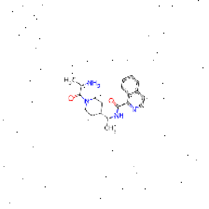 CC(N)C(=O)N1CCC(C(C)NC(=O)c2nccc3ccccc23)CC1